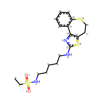 CCS(=O)(=O)NCCCCCNc1nc2c(s1)CCSc1ccccc1-2